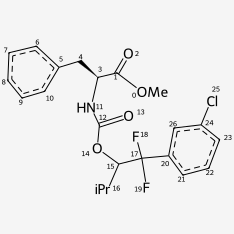 COC(=O)[C@H](Cc1ccccc1)NC(=O)OC(C(C)C)C(F)(F)c1cccc(Cl)c1